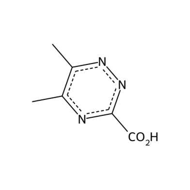 Cc1nnc(C(=O)O)nc1C